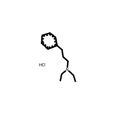 CCN(CC)CCCc1ccccc1.Cl